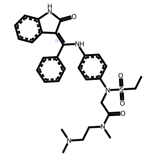 CCS(=O)(=O)N(CC(=O)N(C)CCN(C)C)c1ccc(N/C(=C2\C(=O)Nc3ccccc32)c2ccccc2)cc1